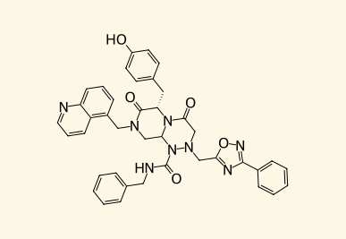 O=C1[C@H](Cc2ccc(O)cc2)N2C(=O)CN(Cc3nc(-c4ccccc4)no3)N(C(=O)NCc3ccccc3)C2CN1Cc1cccc2ncccc12